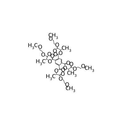 COCCOC(=O)C(C)OC(=O)c1cc(C(=O)OC(C)C(=O)OCCOC)c(C(=O)OC(C)C(=O)OCCOC)cc1C(=O)OC(C)C(=O)OCCOC